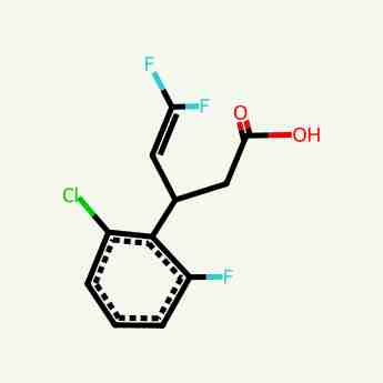 O=C(O)CC(C=C(F)F)c1c(F)cccc1Cl